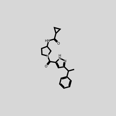 CC(c1ccccc1)c1cc(C(=O)N2CCC(NC(=O)C3CC3)C2)[nH]n1